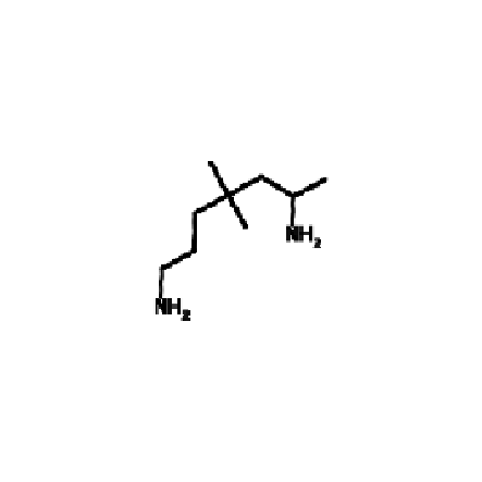 CC(N)CC(C)(C)CCCN